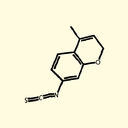 CC1=CCOc2cc(N=C=S)ccc21